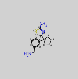 NCc1cccc(C2(C3CSC(N)=N3)CCCC2)c1